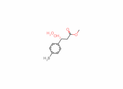 Bc1ccc(CCC(=O)OC)cc1.O.O